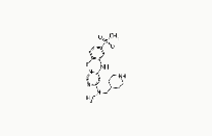 CN(CC1CCNCC1)c1cc(Nc2cc(S(C)(=O)=O)ccc2F)ncn1